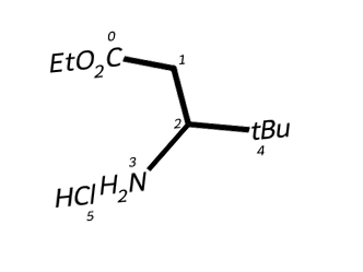 CCOC(=O)CC(N)C(C)(C)C.Cl